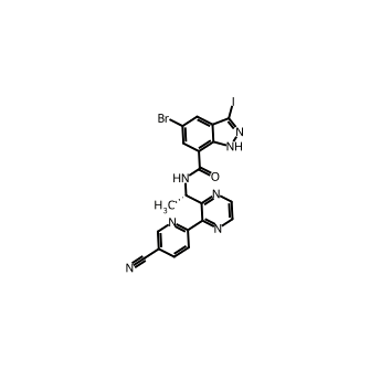 C[C@H](NC(=O)c1cc(Br)cc2c(I)n[nH]c12)c1nccnc1-c1ccc(C#N)cn1